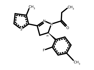 CCC(=O)N1N=C(c2sccc2C)C[C@@H]1c1ccc(C)cc1F